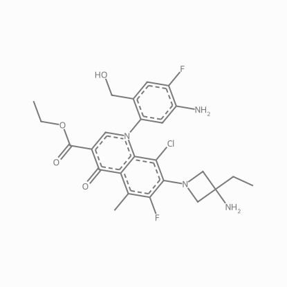 CCOC(=O)c1cn(-c2cc(N)c(F)cc2CO)c2c(Cl)c(N3CC(N)(CC)C3)c(F)c(C)c2c1=O